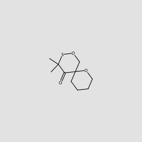 CC1(C)SOCC2(CCCCO2)C1=O